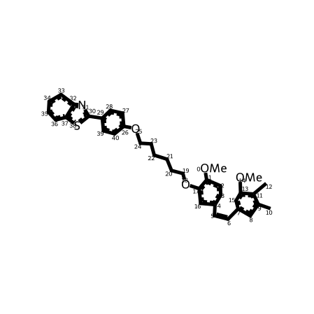 COc1ccc(/C=C\c2cc(C)c(C)c(OC)c2)cc1OCCCCCCOc1ccc(-c2nc3ccccc3s2)cc1